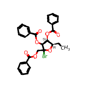 CC[C@H]1OC(Br)(COC(=O)c2ccccc2)C(OC(=O)c2ccccc2)[C@H]1OC(=O)c1ccccc1